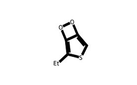 CCc1scc2ooc12